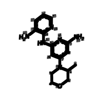 CC1COCCN1c1cc(N)nc(Nc2ncccc2N)c1